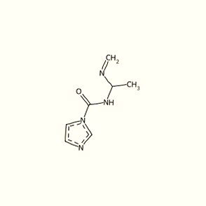 C=NC(C)NC(=O)n1ccnc1